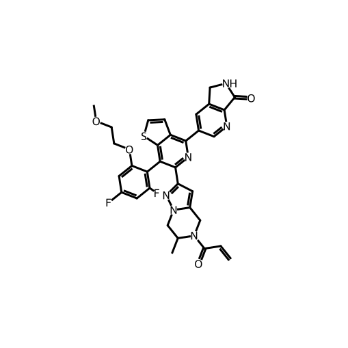 C=CC(=O)N1Cc2cc(-c3nc(-c4cnc5c(c4)CNC5=O)c4ccsc4c3-c3c(F)cc(F)cc3OCCOC)nn2CC1C